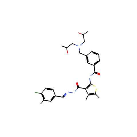 Cc1sc(NC(=O)c2cccc(CN(CC(C)O)CC(C)O)c2)c(C(=O)N/N=C/c2ccc(Cl)c(C(F)(F)F)c2)c1C